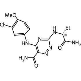 CC[C@@H](Nc1nnc(C(N)=O)c(Nc2ccc(OC)c(Cl)c2)n1)C(N)=O